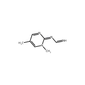 Cc1cn/c(=N/C=N)n(C)c1